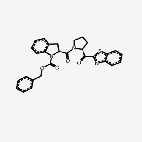 O=C(c1nc2ccccc2s1)[C@@H]1CCCN1C(=O)[C@@H]1Cc2ccccc2N1C(=O)OCc1ccccc1